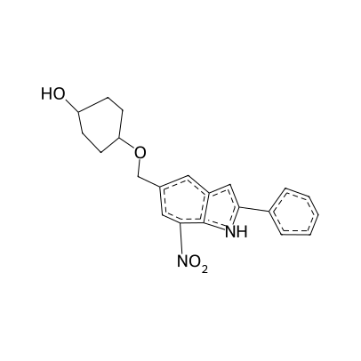 O=[N+]([O-])c1cc(COC2CCC(O)CC2)cc2cc(-c3ccccc3)[nH]c12